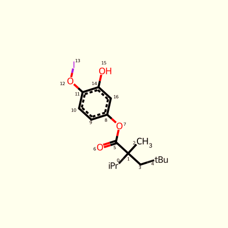 CC(C)C(C)(CC(C)(C)C)C(=O)Oc1ccc(OI)c(O)c1